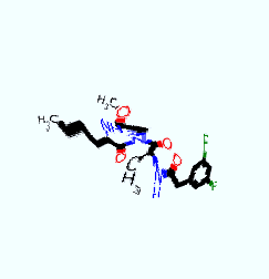 CCCC[C@H](N)C(=O)N(CCOC)C(=O)[C@H](C)NC(=O)Cc1cc(F)cc(F)c1